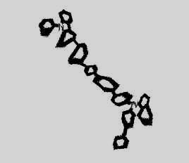 c1ccc(-c2ccc(N(c3ccc(-c4ccc(-c5ccc(-c6ccc(-c7ccc8c(c7)c7ccccc7n8-c7ccccc7)cc6)cc5)cc4)cc3)c3cccc4ccccc34)cc2)cc1